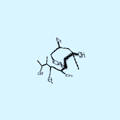 CCC(CO)CC(C)(O)CC(O)C(CC)C(C)C(C)O